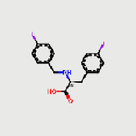 O=C(O)[C@H](Cc1ccc(I)cc1)NCc1ccc(I)cc1